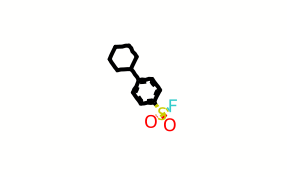 O=S(=O)(F)c1ccc(C2CCCCC2)cc1